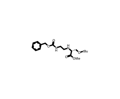 COC(=O)[C@@H](COC(C)(C)C)NCCNC(=O)OCc1ccccc1